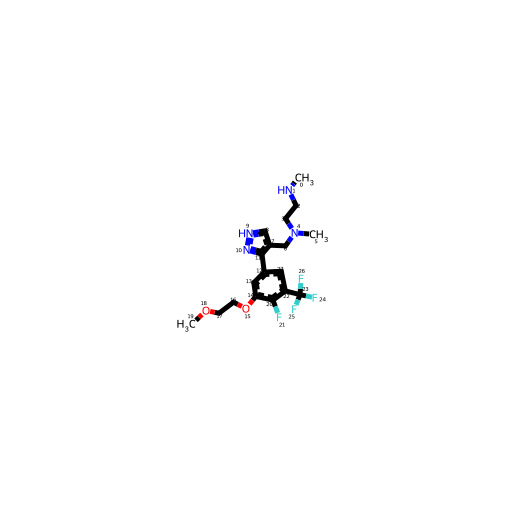 CNCCN(C)Cc1c[nH]nc1-c1cc(OCCOC)c(F)c(C(F)(F)F)c1